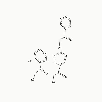 CC(=O)CC(=O)c1ccccc1.CC(=O)CC(=O)c1ccccc1.CC(=O)CC(=O)c1ccccc1.[Fe]